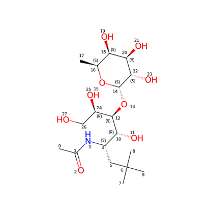 CC(=O)N[C@@H](CC(C)(C)C)[C@@H](O)[C@H](O[C@@H]1O[C@@H](C)[C@@H](O)[C@@H](O)[C@@H]1O)[C@H](O)CO